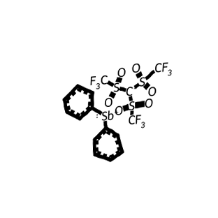 O=S(=O)([C-](S(=O)(=O)C(F)(F)F)S(=O)(=O)C(F)(F)F)C(F)(F)F.c1cc[c]([Sb+][c]2ccccc2)cc1